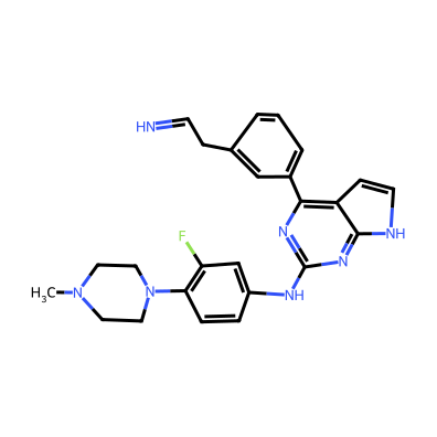 CN1CCN(c2ccc(Nc3nc(-c4cccc(CC=N)c4)c4cc[nH]c4n3)cc2F)CC1